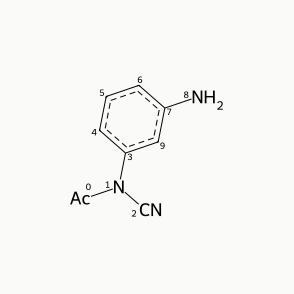 CC(=O)N(C#N)c1cccc(N)c1